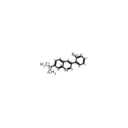 CN(C)c1ccc2cc(-c3ccccc3F)cnc2c1